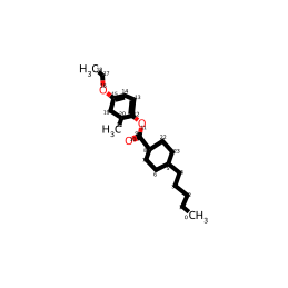 CCCCCC1CCC(C(=O)OC2=CC=C(OCC)CC2C)CC1